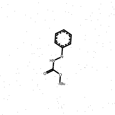 CCCCOC(=O)N[N]c1ccccc1